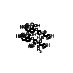 NC(C(=O)N1CC[C@@H](Oc2ccc3c(c2C(=O)O)O[B-](O)(O)CC3)C1)c1c[nH]cn1.NC(C(=O)N1CC[C@@H](Oc2ccc3c(c2C(=O)O)O[B-](O)(O)CC3)C1)c1c[nH]cn1.[Na+].[Na+]